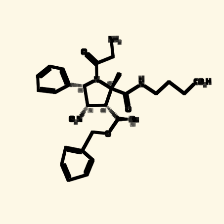 CC[C@H](C)C(OCc1ccccc1)[C@@H]1[C@H]([N+](=O)[O-])[C@H](c2ccccc2)N(C(=O)CN)[C@]1(C)C(=O)NCCCC(=O)O